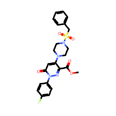 COC(=O)c1nn(-c2ccc(F)cc2)c(=O)cc1N1CCN(S(=O)(=O)Cc2ccccc2)CC1